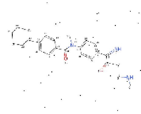 CNCCC(=O)C(=N)c1ccc(N(C)C(=O)c2ccc(C3CCCCC3)cc2)cc1